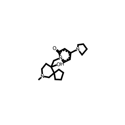 CN1CCC(O)(Cn2ccc(N3CCCC3)cc2=O)C2(CCCC2)C1